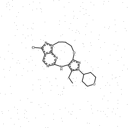 CCc1c2c(nn1C1CCOCC1)OCCCn1nc(Cl)c3cnc(nc31)N2